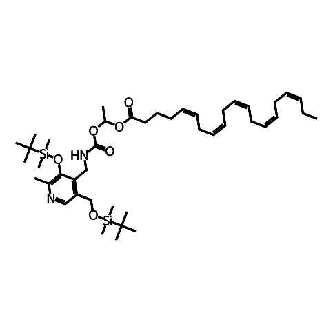 CC/C=C\C/C=C\C/C=C\C/C=C\C/C=C\CCCC(=O)OC(C)OC(=O)NCc1c(CO[Si](C)(C)C(C)(C)C)cnc(C)c1O[Si](C)(C)C(C)(C)C